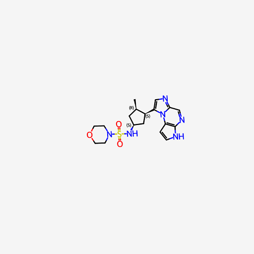 C[C@@H]1C[C@H](NS(=O)(=O)N2CCOCC2)C[C@@H]1c1cnc2cnc3[nH]ccc3n12